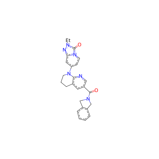 CCn1nc2cc(N3CCCc4cc(C(=O)N5Cc6ccccc6C5)cnc43)ccn2c1=O